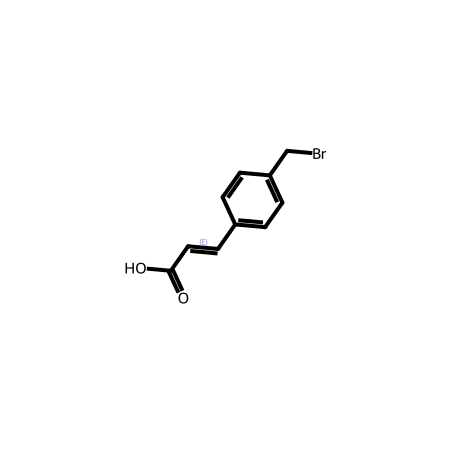 O=C(O)/C=C/c1ccc(CBr)cc1